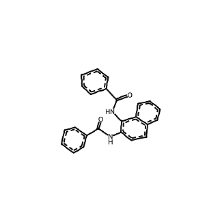 O=C(Nc1ccc2ccccc2c1NC(=O)c1ccccc1)c1ccccc1